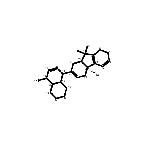 CC1(C)C2=C(C=CCC2)[C@H]2CC=C(C3C=CC(I)C4CCCCC34)CC21